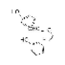 O=Cc1ccco1.Oc1ccccc1.Oc1ccccc1